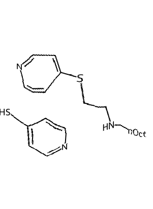 CCCCCCCCNCCSc1ccncc1.Sc1ccncc1